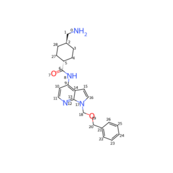 NC[C@H]1CC[C@H](C(=O)Nc2ccnc3c2ccn3COCc2ccccc2)CC1